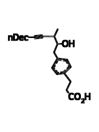 CCCCCCCCCCC#CC(C)C(O)Cc1ccc(CCC(=O)O)cc1